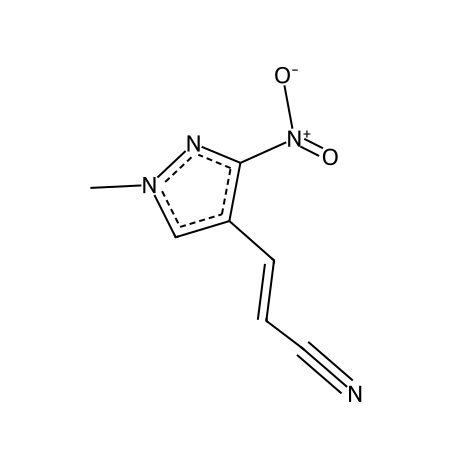 Cn1cc(C=CC#N)c([N+](=O)[O-])n1